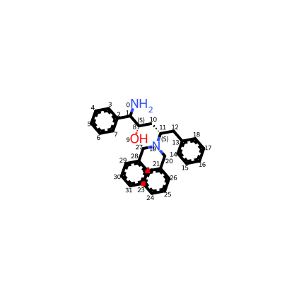 NC(c1ccccc1)[C@@H](O)C[C@H](Cc1ccccc1)N(Cc1ccccc1)Cc1ccccc1